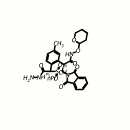 CCC[C@](C(=O)NN)(c1ccc(C)cc1[C@H](CN1C(=O)c2ccccc2C1=O)C(=O)NOC1CCCCO1)S(C)(=O)=O